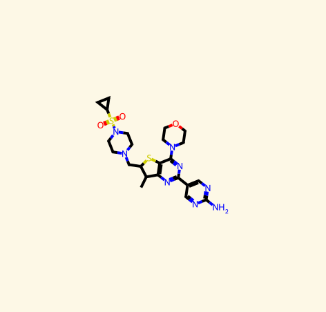 CC1c2nc(-c3cnc(N)nc3)nc(N3CCOCC3)c2SC1CN1CCN(S(=O)(=O)C2CC2)CC1